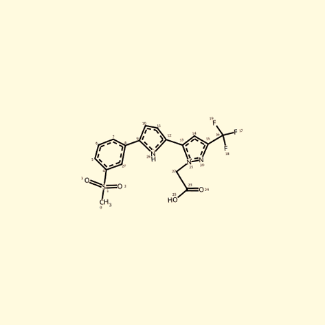 CS(=O)(=O)c1cccc(-c2ccc(-c3cc(C(F)(F)F)nn3CC(=O)O)[nH]2)c1